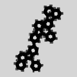 c1ccc(-n2c3ccc(-c4ccc5c6ccccc6n(-c6ccccc6-c6ccc7c(c6)-c6cccc8cccc-7c68)c5c4)cc3c3ccc4ccccc4c32)cc1